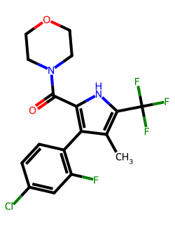 Cc1c(C(F)(F)F)[nH]c(C(=O)N2CCOCC2)c1-c1ccc(Cl)cc1F